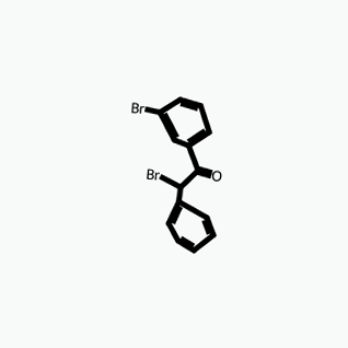 O=C(c1cccc(Br)c1)C(Br)c1ccccc1